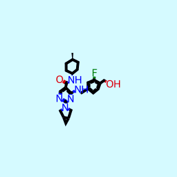 C[C@H]1CC[C@H](NC(=O)c2cnc(N3CC4CC4C3)nc2NCc2ccc(CO)c(F)c2)CC1